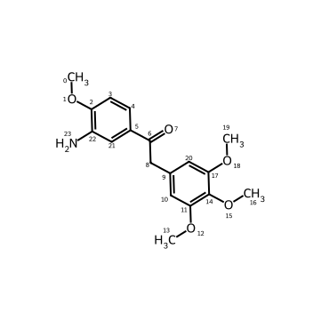 COc1ccc(C(=O)Cc2cc(OC)c(OC)c(OC)c2)cc1N